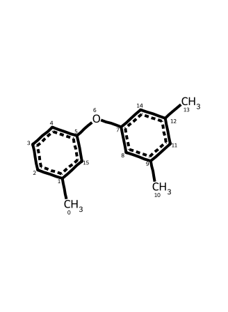 Cc1cccc(Oc2cc(C)cc(C)c2)c1